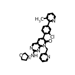 Cc1cccnc1-c1ccc(-c2cc3cnc(N[C@@H]4CCOC4)nc3n(Cc3ccccn3)c2=O)c(Cl)c1